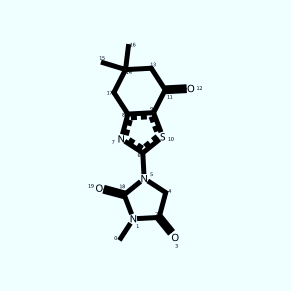 CN1C(=O)CN(c2nc3c(s2)C(=O)CC(C)(C)C3)C1=O